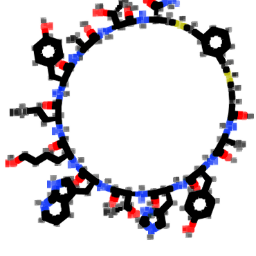 CCC[C@@H]1NC(=O)[C@H](Cc2ccc(O)cc2)NC(=O)[C@H](CCC(=O)O)NC(=O)[C@H](CCCCO)NC(=O)[C@H](Cc2c[nH]c3ncccc23)NC(=O)[C@H]([C@@H](C)O)NC(=O)[C@H](Cc2cnc[nH]2)NC(=O)[C@H](Cc2ccc(O)cc2)NC(=O)[C@H](C(C)(C)C)NC(=O)CCSCc2cccc(c2)CSC[C@@H](C(N)=O)NC(=O)[C@H]([C@@H](C)O)NC1=O